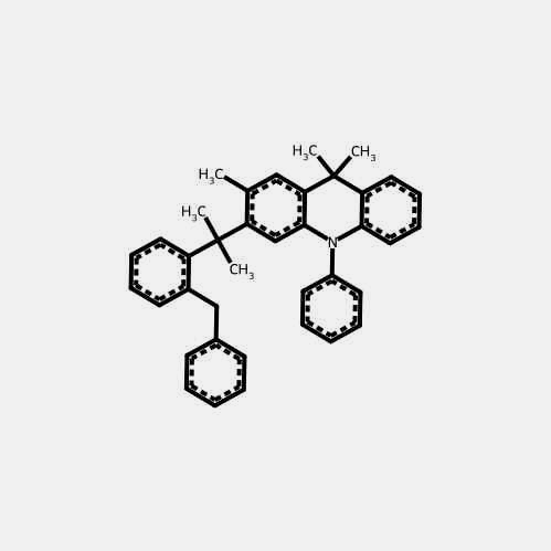 Cc1cc2c(cc1C(C)(C)c1ccccc1Cc1ccccc1)N(c1ccccc1)c1ccccc1C2(C)C